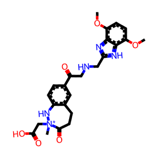 COc1ccc(OC)c2[nH]c(CNCC(=O)c3ccc4c(c3)CCC(=O)[N+](C)(CC(=O)O)N4)nc12